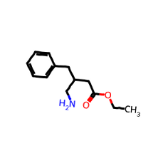 CCOC(=O)CC(CN)Cc1ccccc1